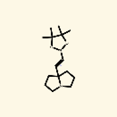 CC1(C)OB(/C=C/C23CCCN2CCC3)OC1(C)C